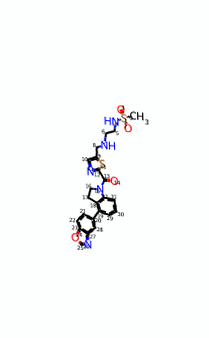 CS(=O)(=O)NCCNCc1cnc(C(=O)N2CCc3c(-c4ccc5ocnc5c4)cccc32)s1